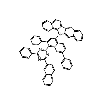 c1ccc(-c2ccc3c(-n4c5cc6ccccc6cc5c5ccc6ccccc6c54)cc(-c4ccccc4)c(-c4nc(-c5ccccc5)nc(-c5ccc6ccccc6c5)n4)c3c2)cc1